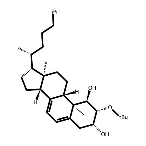 CCCCO[C@@H]1[C@H](O)CC2=CC=C3[C@@H]4CC[C@H]([C@H](C)CCCC(C)C)[C@@]4(C)CC[C@@H]3[C@@]2(C)[C@H]1O